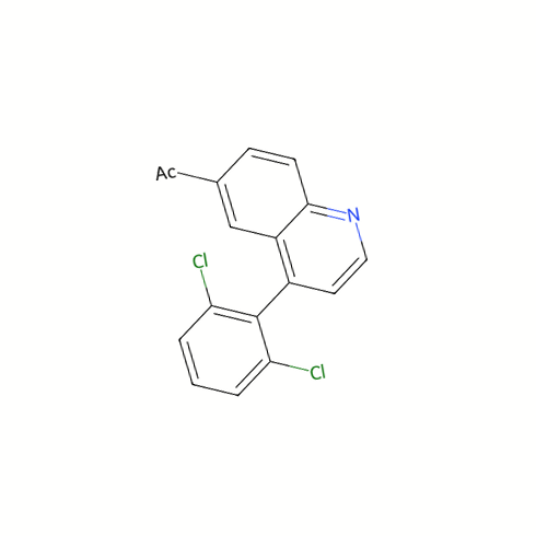 CC(=O)c1ccc2nccc(-c3c(Cl)cccc3Cl)c2c1